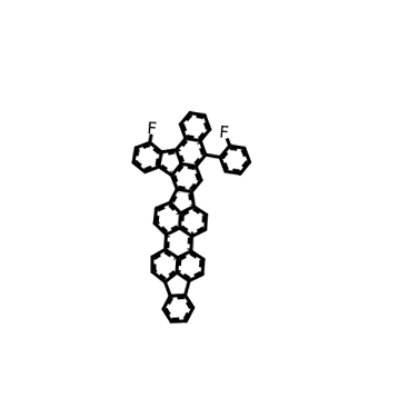 Fc1ccccc1-c1c2ccccc2c2c3c(F)cccc3c3c4c(cc1c23)c1ccc2c3ccc5c6c(ccc(c7ccc4c1c27)c63)-c1ccccc1-5